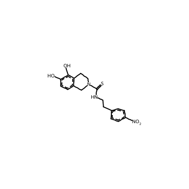 O=[N+]([O-])c1ccc(CCNC(=S)N2CCc3c(ccc(O)c3O)C2)cc1